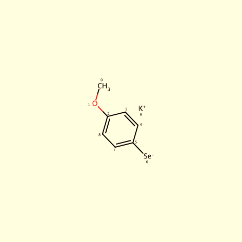 COc1ccc([Se-])cc1.[K+]